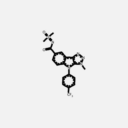 Cn1nnc2c3cc(C(=O)N=S(C)(C)=O)ccc3n(-c3ccc(C(F)(F)F)cc3)c21